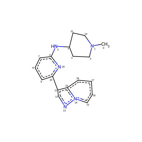 CN1CCC(Nc2cccc(-c3cnn4ccccc34)n2)CC1